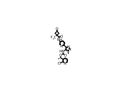 C[C@@H](OC(=O)Nc1c(-c2ccc(NC(=O)C3(C(F)(F)F)CC(=O)C3)cn2)nnn1C)c1cccnc1Cl